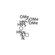 COc1cc(NC(=S)NC2CCC(Nc3nc4c(c(N(C)C)n3)CCCC4)CC2)cc(OC)c1OC